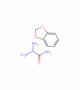 NC(=O)N(N)N.c1ccc2c(c1)OCO2